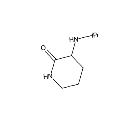 CC(C)NC1CCCNC1=O